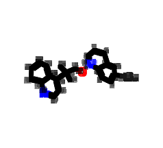 CC(C)(C)c1ccc2c(ccc[n+]2OCC(C)(C)c2ccnc3ccccc23)c1